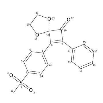 CS(=O)(=O)c1ccc(C2=C(c3ccccc3)C(=O)C23OCCO3)cc1